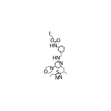 C=CCOC(=O)Nc1cccc(CNc2cc(N3CCOCC3)cc(CC(C)c3nnc(CC)s3)n2)c1